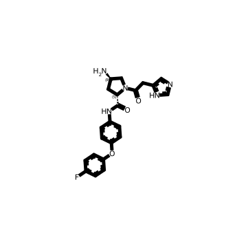 N[C@@H]1C[C@@H](C(=O)Nc2ccc(Oc3ccc(F)cc3)cc2)N(C(=O)Cc2cnc[nH]2)C1